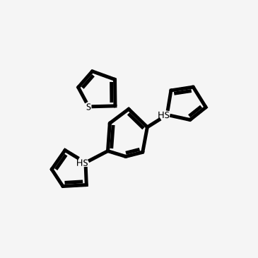 C1=C[SH](c2ccc([SH]3C=CC=C3)cc2)C=C1.c1ccsc1